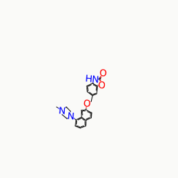 CN1CCN(c2cccc3ccc(OCc4ccc5[nH]c(=O)oc5c4)cc23)CC1